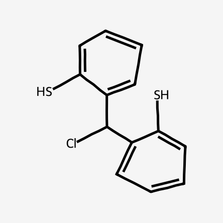 Sc1ccccc1C(Cl)c1ccccc1S